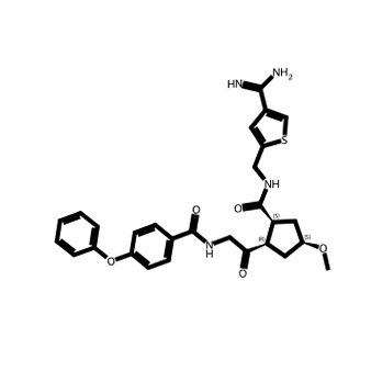 CO[C@@H]1C[C@H](C(=O)NCc2cc(C(=N)N)cs2)[C@H](C(=O)CNC(=O)c2ccc(Oc3ccccc3)cc2)C1